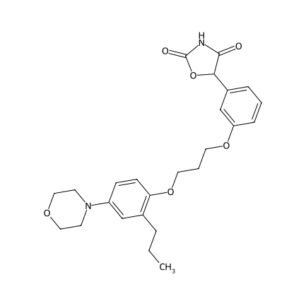 CCCc1cc(N2CCOCC2)ccc1OCCCOc1cccc(C2OC(=O)NC2=O)c1